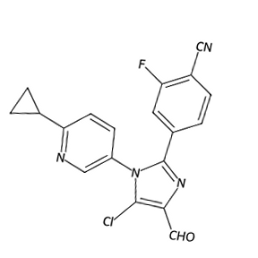 N#Cc1ccc(-c2nc(C=O)c(Cl)n2-c2ccc(C3CC3)nc2)cc1F